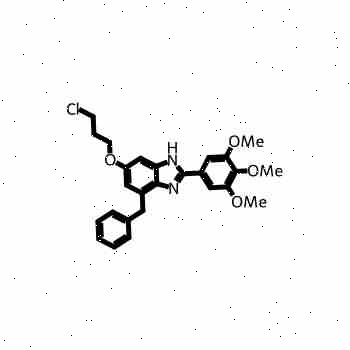 COc1cc(-c2nc3c(Cc4ccccc4)cc(OCCCCl)cc3[nH]2)cc(OC)c1OC